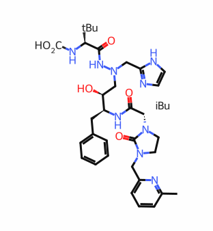 CC[C@H](C)[C@@H](C(=O)N[C@@H](Cc1ccccc1)[C@@H](O)CN(Cc1ncc[nH]1)NC(=O)[C@@H](NC(=O)O)C(C)(C)C)N1CCN(Cc2cccc(C)n2)C1=O